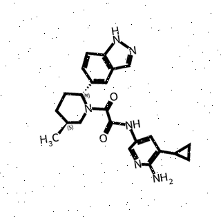 C[C@H]1CC[C@H](c2ccc3[nH]ncc3c2)N(C(=O)C(=O)Nc2cnc(N)c(C3CC3)c2)C1